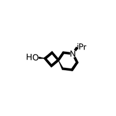 CC(C)N1CCC[C@]2(C1)C[C@H](O)C2